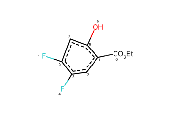 CCOC(=O)c1cc(F)c(F)cc1O